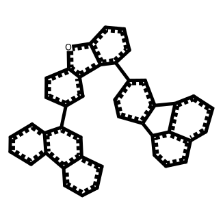 c1cc2c3c(cccc3c1)-c1cc(-c3cccc4oc5ccc(-c6cc7ccccc7c7ccccc67)cc5c34)ccc1-2